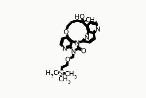 C[C@]1(O)CCCOc2ccnc3c2n(c(=O)n3COCC[Si](C)(C)C)-c2ccc3nccc1c3n2